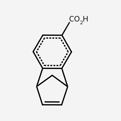 O=C(O)c1ccc2c(c1)C1C=CC2C1